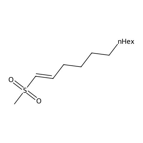 CCCCCCCCCCC=CS(C)(=O)=O